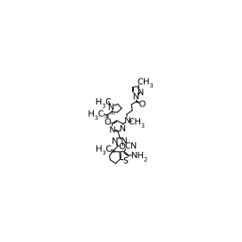 Cc1ccn(C(=O)CCCN(C)c2cc(O[C@@H](C)[C@@H]3CCCN3C)nc(-c3noc([C@@]4(C)CCCc5sc(N)c(C#N)c54)n3)n2)n1